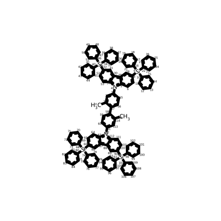 Cc1cc(-n2c3ccc([Si](c4ccccc4)(c4ccccc4)c4ccccc4)cc3c3cc([Si](c4ccccc4)(c4ccccc4)c4ccccc4)ccc32)ccc1-c1ccc(-n2c3ccc([Si](c4ccccc4)(c4ccccc4)c4ccccc4)cc3c3cc([Si](c4ccccc4)(c4ccccc4)c4ccccc4)ccc32)cc1C